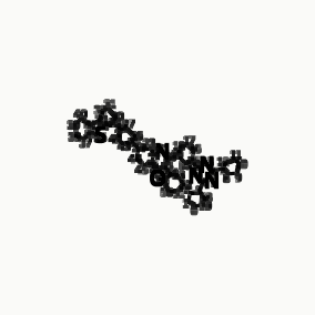 c1ccc(-c2nc(-c3ccccc3)nc(-c3cccc(-c4nc5cc(-c6ccc(-c7cccc8c7sc7ccccc78)cc6)ccc5c5oc6ccccc6c45)c3)n2)cc1